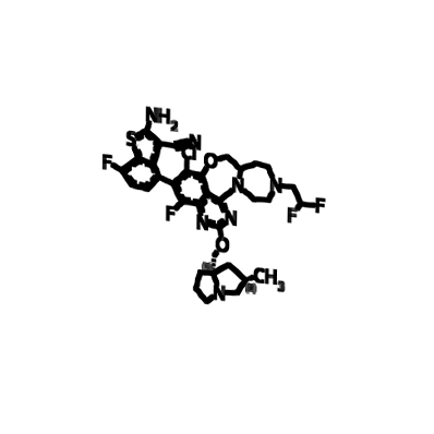 C[C@H]1CN2CCC[C@@]2(COc2nc3c4c(c(Cl)c(-c5ccc(F)c6sc(N)c(C#N)c56)c(F)c4n2)OCC2CCN(CC(F)F)CCN32)C1